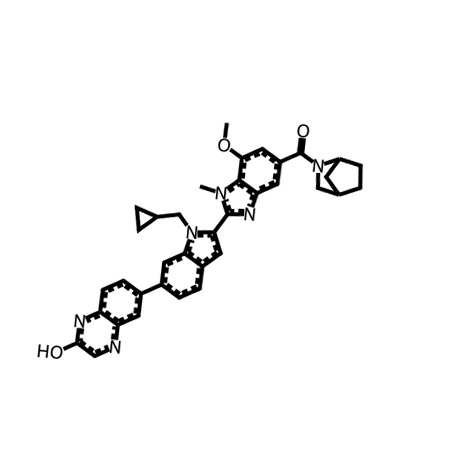 COc1cc(C(=O)N2CC3CCC2C3)cc2nc(-c3cc4ccc(-c5ccc6nc(O)cnc6c5)cc4n3CC3CC3)n(C)c12